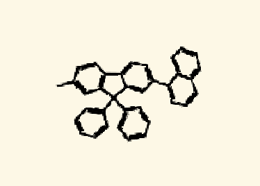 Cc1ccc2c(c1)C(c1ccccc1)(c1ccccc1)c1cc(-c3cccc4ccccc34)ccc1-2